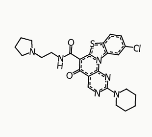 O=C(NCCN1CCCC1)c1c(=O)c2cnc(N3CCCCC3)nc2n2c1sc1ccc(Cl)cc12